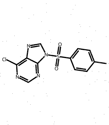 Cc1ccc(S(=O)(=O)n2cnc3c(Cl)ncnc32)cc1